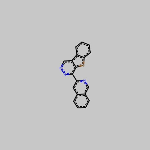 c1ccc2cc(-c3nncc4c3sc3ccccc34)ncc2c1